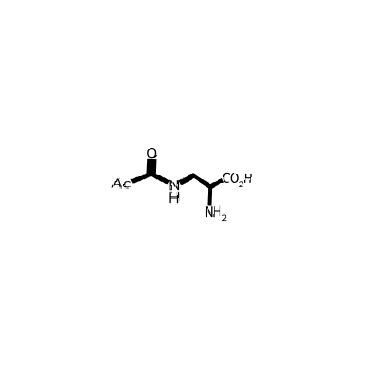 CC(=O)C(=O)NCC(N)C(=O)O